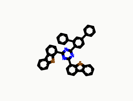 c1ccc(-c2ccc(-c3nc(-c4cccc5c4sc4ccccc45)nc(-c4cccc5c4sc4ccccc45)n3)c(-c3ccccc3)c2)cc1